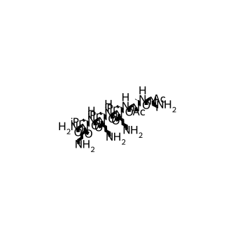 CC(=O)N(CC(=O)N[C@@H](C)CN(CC(=O)N[C@@H](CC(C)C)CN(CC(=O)N[C@@H](CC(C)C)CN(CC(=O)N[C@@H](CC(C)C)CN(CC(N)=O)C(=O)CCCN)C(=O)CCCN)C(=O)CCCN)C(C)=O)C[C@H](C)N